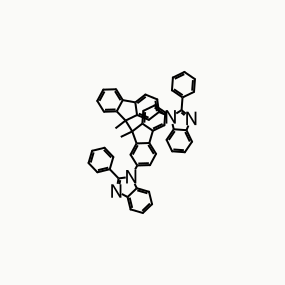 CC1(C2(C)c3ccccc3-c3ccc(-n4c(-c5ccccc5)nc5ccccc54)cc32)c2ccccc2-c2ccc(-n3c(-c4ccccc4)nc4ccccc43)cc21